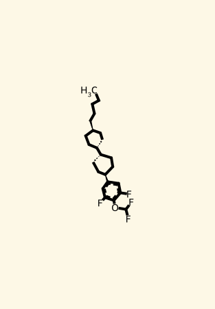 CCCCC[C@H]1CC[C@H]([C@H]2CC[C@H](c3cc(F)c(OC(F)F)c(F)c3)CC2)CC1